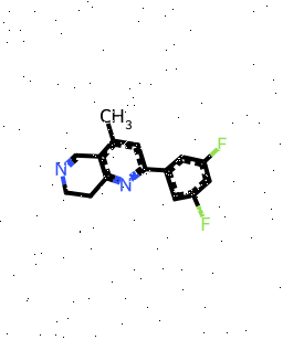 Cc1cc(-c2cc(F)cc(F)c2)nc2c1C=NCC2